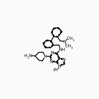 CC(C)n1cnc2c(NCc3ccccc3-c3ccccc3CN(C)C)nc(N3CCC(N)CC3)nc21